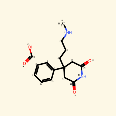 CNCCCC1(c2ccccc2)CC(=O)NC(=O)C1.O=CO